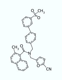 Cc1ccc2ccccc2c1C(=O)N(Cc1ccc(-c2cccc(S(C)(=O)=O)c2)cc1)Cc1ccc(C#N)o1